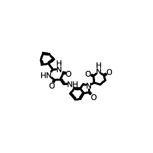 O=C1CCC(N2Cc3c(NC=C4C(=O)NC(c5ccccc5)NC4=O)cccc3C2=O)C(=O)N1